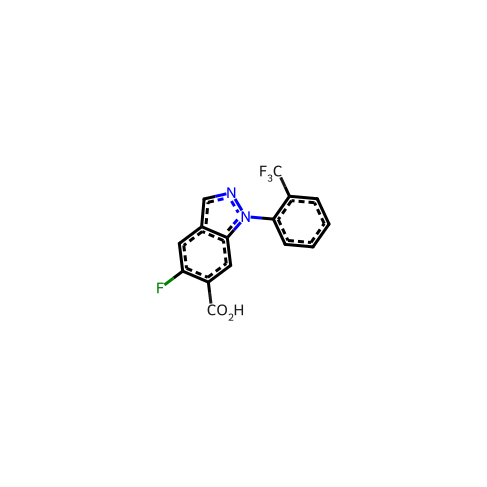 O=C(O)c1cc2c(cnn2-c2ccccc2C(F)(F)F)cc1F